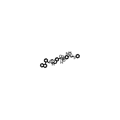 O=C(NS(=O)(=O)c1ccc(NCCSc2ccccc2)c([N+](=O)[O-])c1)c1ccc2c(c1)CC[C@@H]1CN(Cc3ccccc3-c3cccc4ccccc34)CCN21